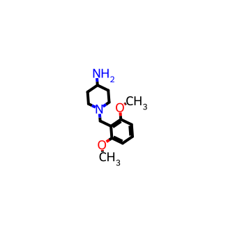 COc1cccc(OC)c1CN1CCC(N)CC1